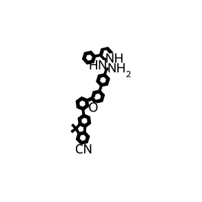 CC1(C)c2cc(C#N)ccc2-c2ccc(-c3cccc4c3oc3ccc(-c5ccc(C(N)NC6NC=CC=C6c6ccccc6)cc5)cc34)cc21